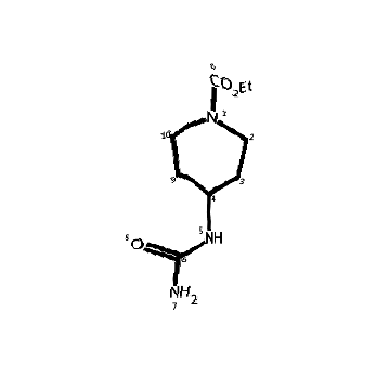 CCOC(=O)N1CCC(NC(N)=O)CC1